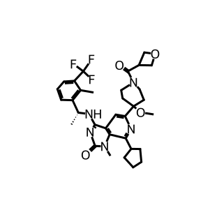 COC1(c2cc3c(N[C@H](C)c4cccc(C(F)(F)F)c4C)nc(=O)n(C)c3c(C3CCCC3)n2)CCN(C(=O)C2COC2)CC1